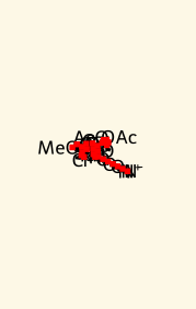 COc1ccc2c(OS(=O)(=O)Oc3cc(C(=O)N(C)CCOCCOCCOCCN=[N+]=[N-])ccc3O[C@@H]3O[C@H](COC(C)=O)[C@@H](C)[C@H](OC(C)=O)[C@H]3OC(C)=O)cc3c(c2c1)[C@H](CCl)CN3